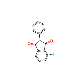 O=C1c2cccc(F)c2C(=O)C1c1ccccc1